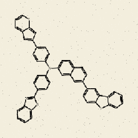 c1csc2cc(-c3ccc(N(c4ccc(-c5nc6ccccc6s5)cc4)c4ccc5ccc(-c6ccc7sc8ccccc8c7c6)cc5c4)cc3)cc-2c1